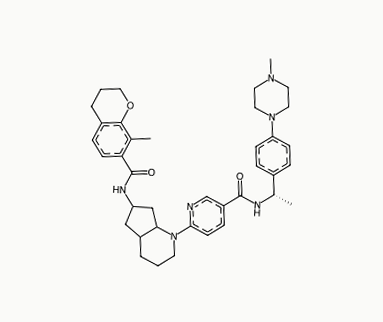 Cc1c(C(=O)NC2CC3CCCN(c4ccc(C(=O)N[C@@H](C)c5ccc(N6CCN(C)CC6)cc5)cn4)C3C2)ccc2c1OCCC2